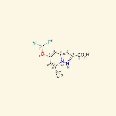 O=C(O)c1cc2cc(OC(F)F)cc(C(F)(F)F)n2n1